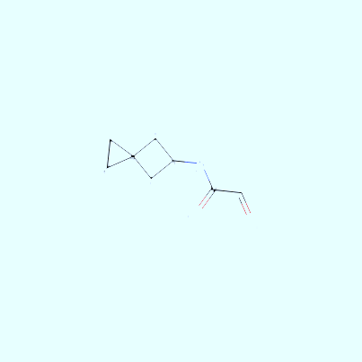 O=CC(=O)NC1CC2(CC2)C1